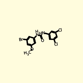 COc1cc(Br)cc(NC(=O)Nc2cc(Cl)cc(Cl)c2)c1